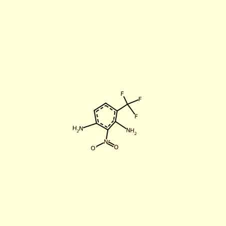 Nc1ccc(C(F)(F)F)c(N)c1[N+](=O)[O-]